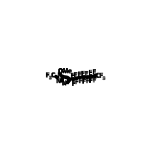 COn1c(C(F)(F)F)nc2ncc(C(F)(F)C(F)(F)C(F)(F)C(F)(F)C(F)(F)C(F)(F)C(F)(F)C(F)(F)F)cc21